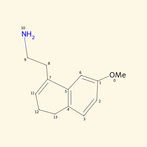 COc1ccc2c(c1)C(CCN)=CCC2